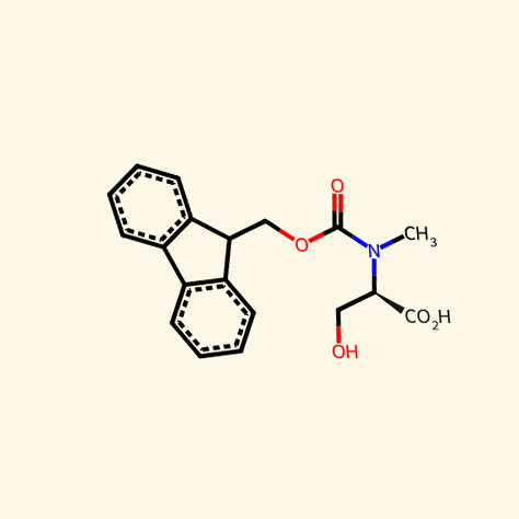 CN(C(=O)OCC1c2ccccc2-c2ccccc21)[C@H](CO)C(=O)O